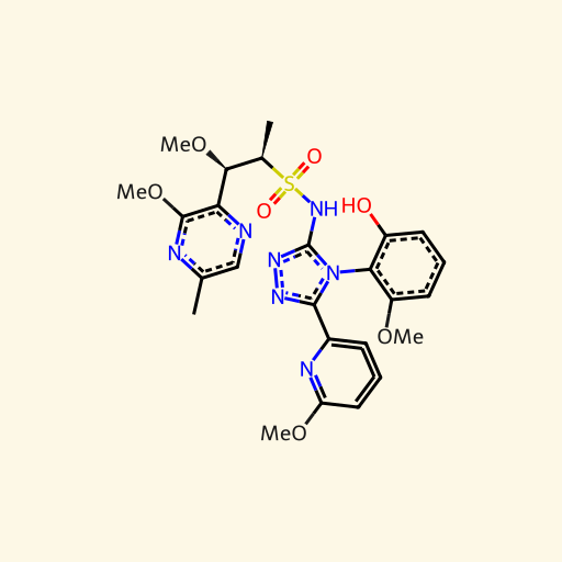 COC1=NC(c2nnc(NS(=O)(=O)[C@H](C)[C@H](OC)c3ncc(C)nc3OC)n2-c2c(O)cccc2OC)=C=C=C1